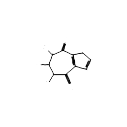 O=C1C2=C(CC=[C]2)C(=O)C(O)C(O)C1O